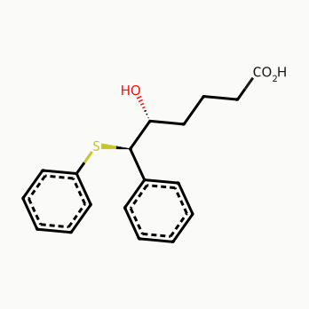 O=C(O)CCC[C@@H](O)[C@H](Sc1ccccc1)c1ccccc1